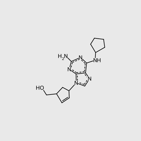 Nc1nc(NC2CCCC2)c2ncn(C3C=CC(CO)C3)c2n1